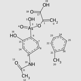 C=C(O[As](=O)(O)c1ccc(NC(C)=O)cc1O)C(=O)O.Cc1ccccc1